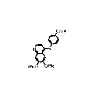 COc1ccc(Sc2ccnc3cc(OC)c(OC)cc23)cc1